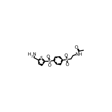 CC(=O)NCCS(=O)(=O)c1ccc(S(=O)(=O)c2ccc(CN)s2)cc1